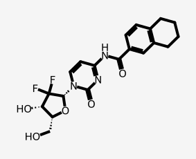 O=C(Nc1ccn([C@@H]2O[C@H](CO)[C@H](O)C2(F)F)c(=O)n1)c1ccc2c(c1)CCCC2